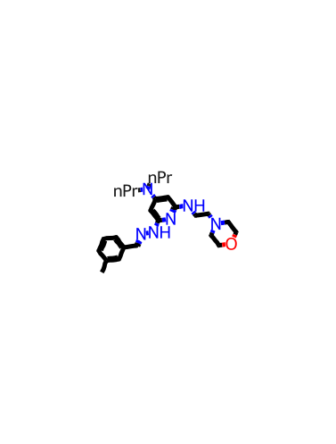 CCCN(CCC)c1cc(NCCN2CCOCC2)nc(N/N=C/c2cccc(C)c2)c1